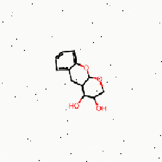 OC1COC2Oc3ccccc3CC2C1O